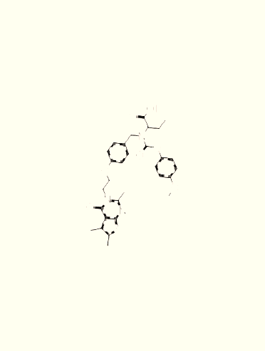 CCC(C(=O)O)N(Cc1ccc(OCCn2c(C)nc3sc(C)c(C)c3c2=O)cc1)C(=O)Oc1ccc(OC)cc1